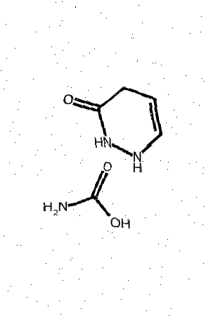 NC(=O)O.O=C1CC=CNN1